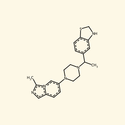 Cc1ncc2ccc(N3CCN(C(C)c4ccc5c(c4)NCS5)CC3)cn12